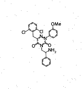 COc1cccc(-n2nc(Cc3c(Cl)cccc3Cl)c(=O)n(CC(N)c3ccccc3)c2=O)c1